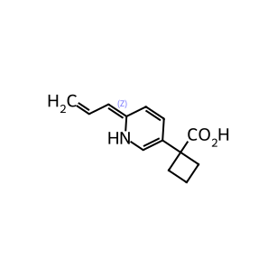 C=C/C=C1/C=CC(C2(C(=O)O)CCC2)=CN1